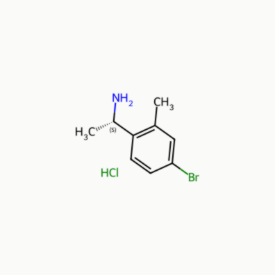 Cc1cc(Br)ccc1[C@H](C)N.Cl